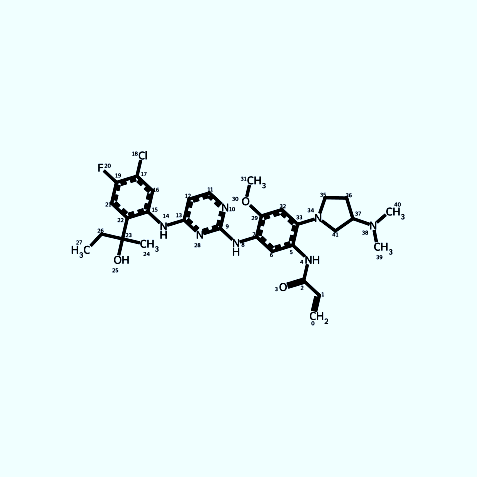 C=CC(=O)Nc1cc(Nc2nccc(Nc3cc(Cl)c(F)cc3C(C)(O)CC)n2)c(OC)cc1N1CCC(N(C)C)C1